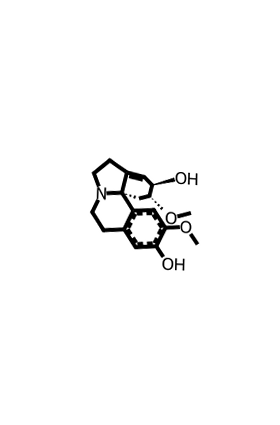 COc1cc2c(cc1O)CCN1CCC3=C[C@@H](O)[C@H](OC)C[C@]321